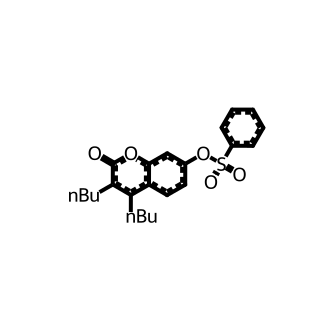 CCCCc1c(CCCC)c2ccc(OS(=O)(=O)c3ccccc3)cc2oc1=O